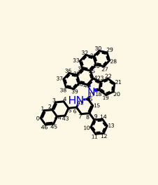 C1=CC2=CCC(C3CC(c4ccccc4)=CC(n4c5ccccc5c5c6c7ccccc7ccc6c6ccccc6c54)N3)CC2C=C1